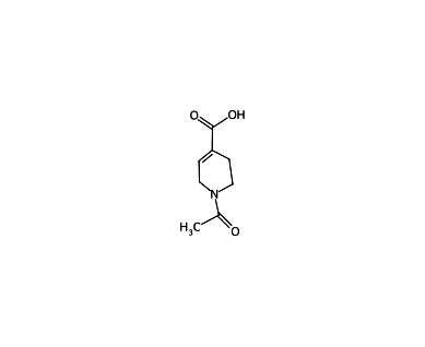 CC(=O)N1CC=C(C(=O)O)CC1